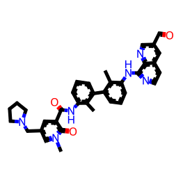 Cc1c(NC(=O)c2cc(CN3CCCC3)cn(C)c2=O)cccc1-c1cccc(Nc2nccc3cc(C=O)cnc23)c1C